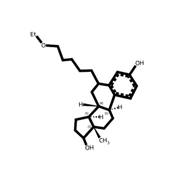 CCOCCCCCC1C[C@@H]2[C@H](CC[C@]3(C)C(O)CC[C@@H]23)c2ccc(O)cc21